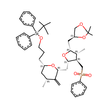 C=C1[C@H](C)C[C@H](CCCO[Si](c2ccccc2)(c2ccccc2)C(C)(C)C)O[C@@H]1C[C@@H]1O[C@H](C[C@H]2COC(C)(C)O2)[C@H](C)[C@H]1CS(=O)(=O)c1ccccc1